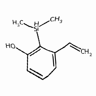 C=Cc1cccc(O)c1[SiH](C)C